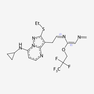 C=N/C=C(\N=C/Cc1c(SCC)nn2c(NC3CC3)ccnc12)OCC(F)(F)C(F)(F)F